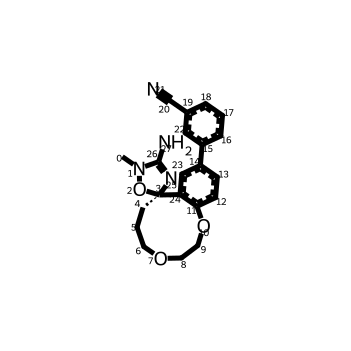 CN1O[C@@]2(CCCOCCOc3ccc(-c4cccc(C#N)c4)cc32)N=C1N